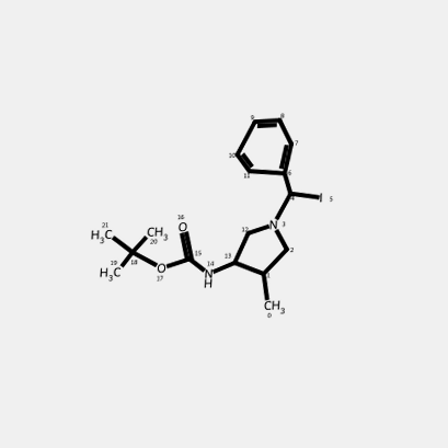 CC1CN(C(I)c2ccccc2)CC1NC(=O)OC(C)(C)C